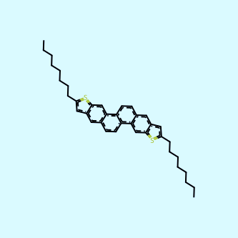 CCCCCCCCc1cc2cc3ccc4c5cc6sc(CCCCCCCC)cc6cc5ccc4c3cc2s1